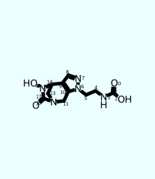 O=C(O)NCCn1ncc2c1CN1CC2N(O)C1=O